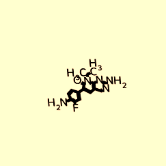 CC(C)n1c(=O)c(-c2ccc(N)c(F)c2)cc2cnc(N)nc21